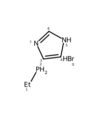 Br.CCP.c1c[nH]cn1